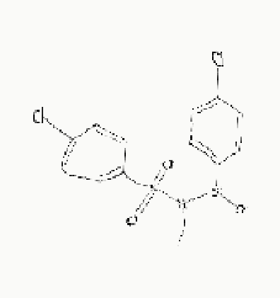 CN([S+]([O-])c1ccc(Cl)cc1)S(=O)(=O)c1ccc(Cl)cc1